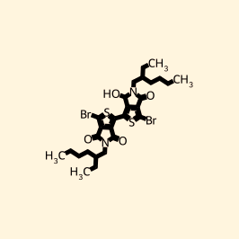 CCCCC(CC)CN1C(=O)c2c(Br)sc(-c3sc(Br)c4c3C(O)N(CC(CC)CCCC)C4=O)c2C1=O